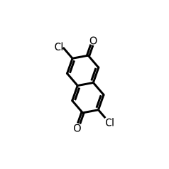 O=C1C=C2C=C(Cl)C(=O)C=C2C=C1Cl